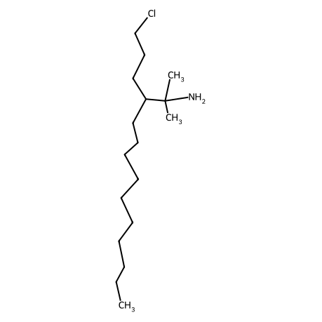 CCCCCCCCCCC(CCCCl)C(C)(C)N